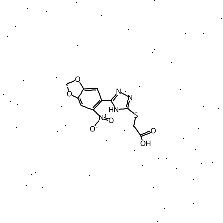 O=C(O)CSc1nnc(-c2cc3c(cc2[N+](=O)[O-])OCO3)[nH]1